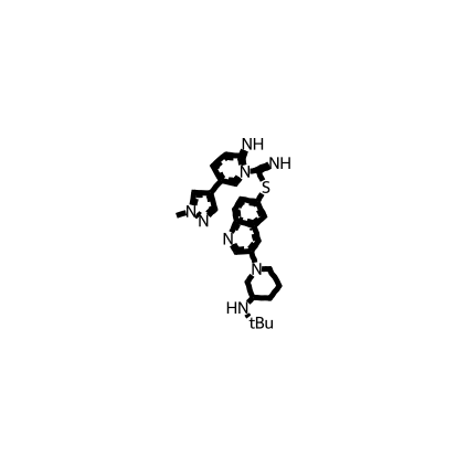 Cn1cc(-c2ccc(=N)n(C(=N)Sc3ccc4ncc(N5CCCC(NC(C)(C)C)C5)cc4c3)c2)cn1